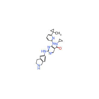 CC1(c2cccc(-n3c4nc(Nc5ccc6c(c5)CCNC6)ncc4c(=O)n3C3CC3)n2)CC1